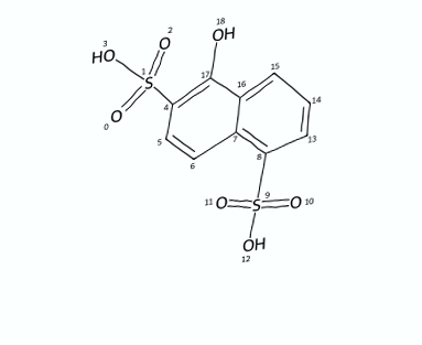 O=S(=O)(O)c1ccc2c(S(=O)(=O)O)cccc2c1O